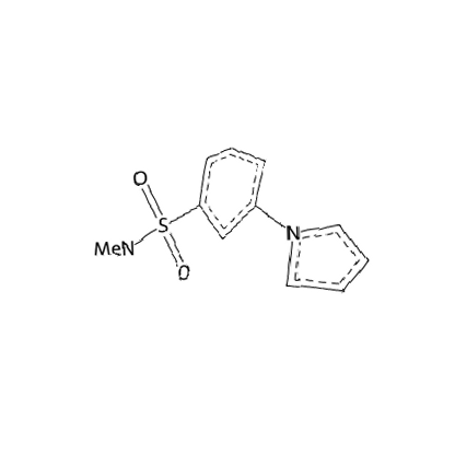 CNS(=O)(=O)c1cccc(-n2cccc2)c1